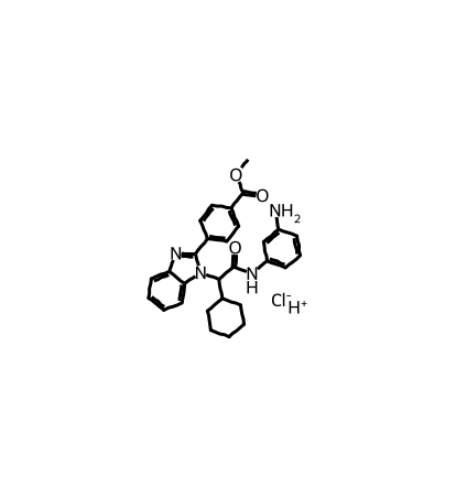 COC(=O)c1ccc(-c2nc3ccccc3n2C(C(=O)Nc2cccc(N)c2)C2CCCCC2)cc1.[Cl-].[H+]